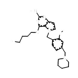 CCCCCNc1nc(N)nc2ccn(Cc3ccc(CN4CCCCC4)cc3OC)c12